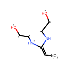 O=[N+]([O-])C=C(NCCO)NCCO